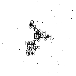 CC[C@@]1(O)C(=O)OCc2c1cc1n(c2=O)Cc2c-1nc1cc(F)c(C)c3c1c2[C@@H](NC(O)OCc1ccc(NC(=O)C(CCCNC(N)=O)NC(=O)[C@@H](NC(=O)CCOCCOCCN2C(=O)C=CC2=O)C(C)C)cc1)CC3